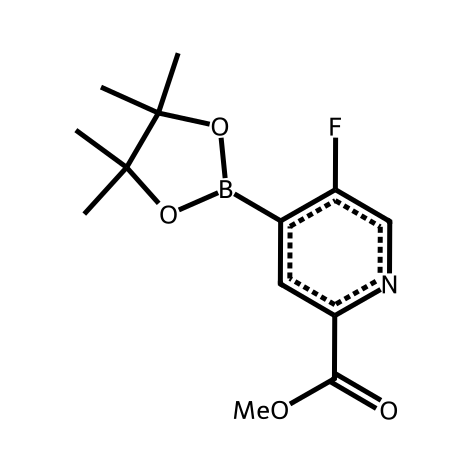 COC(=O)c1cc(B2OC(C)(C)C(C)(C)O2)c(F)cn1